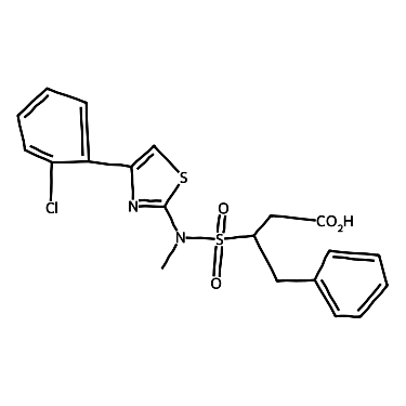 CN(c1nc(-c2ccccc2Cl)cs1)S(=O)(=O)C(CC(=O)O)Cc1ccccc1